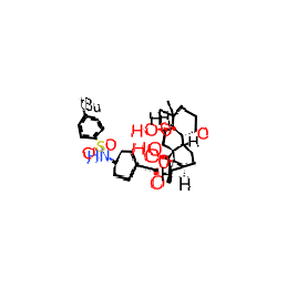 C=C1C(=O)[C@]23[C@H](OC(=O)C4CCC(NS(=O)(=O)c5ccc(C(C)(C)C)cc5)CC4)[C@H]1CC[C@H]2[C@@]12CO[C@@]3(O)[C@@H](O)[C@@H]1C(C)(C)CCC2=O